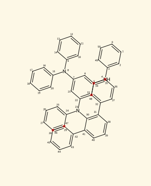 c1ccc(Nc2cc(N(c3ccccc3)c3ccccc3)cc(N(c3ccccc3)c3c(-c4ccccc4)cccc3-c3ccccc3)c2)cc1